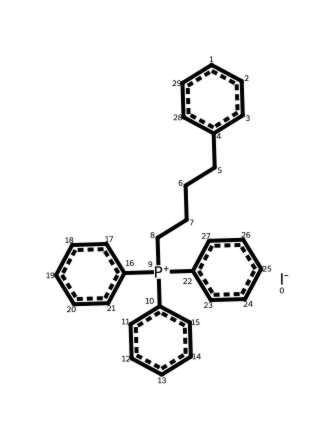 [I-].c1ccc(CCCC[P+](c2ccccc2)(c2ccccc2)c2ccccc2)cc1